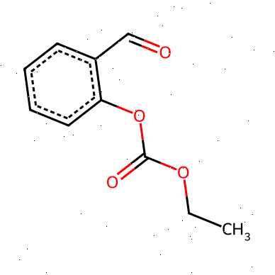 CCOC(=O)Oc1ccccc1C=O